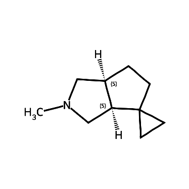 CN1C[C@H]2CCC3(CC3)[C@H]2C1